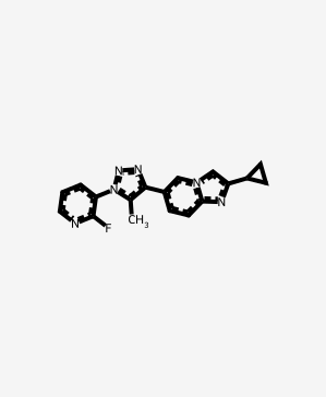 Cc1c(-c2ccc3nc(C4CC4)cn3c2)nnn1-c1cccnc1F